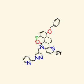 CC(C)c1ccc(N(Cc2cnn(Cc3ccccn3)c2)C(=O)C2CCCc3c(OCc4ccccc4)ccc(F)c32)cn1